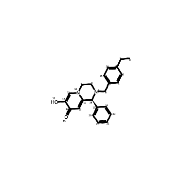 CCc1ccc(CN2CCn3cc(O)c(=O)cc3[C@@H]2c2ccccc2)cc1